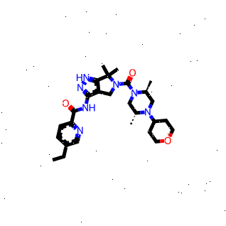 CCc1ccc(C(=O)Nc2n[nH]c3c2CN(C(=O)N2C[C@@H](C)N(C4CCOCC4)C[C@@H]2C)C3(C)C)nc1